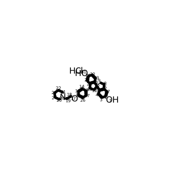 Cl.Oc1ccc2c(c1)CC[C@@]21C[C@H](c2ccc(OCCN3CCCCC3)cc2)c2cc(O)ccc21